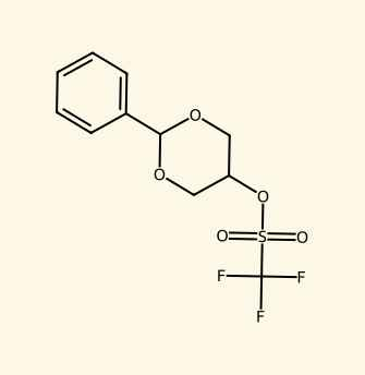 O=S(=O)(OC1COC(c2ccccc2)OC1)C(F)(F)F